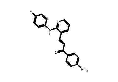 Nc1ccc(C(=O)C=Cc2cccnc2Nc2ccc(F)cc2)cc1